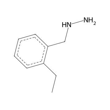 CCc1ccccc1CNN